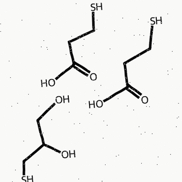 O=C(O)CCS.O=C(O)CCS.OCC(O)CS